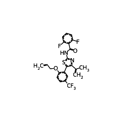 C=CCOc1ccc(C(F)(F)F)cc1-c1sc(NC(=O)c2c(F)cccc2F)nc1C(=C)C